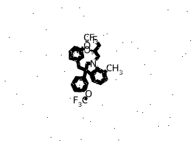 Cc1cccc2c1N(C[C@@H](O)CF)CC2(Cc1cccc(OC(F)(F)F)c1)c1cccc(OC(F)(F)F)c1